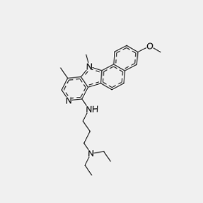 CCN(CC)CCCNc1ncc(C)c2c1c1ccc3cc(OC)ccc3c1n2C